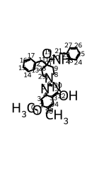 COc1cc2nc(N3CCC(Cc4ccccc4)(C(=O)NCc4ccccc4)CC3)nc(O)c2cc1C